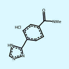 CNC(=O)c1ccc(-c2nnc[nH]2)cc1.Cl